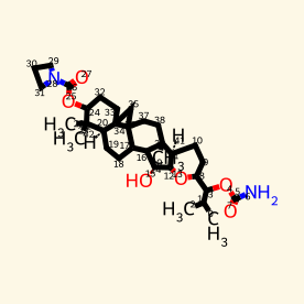 CC(C)C(OC(N)=O)C1CC[C@H]2C(O1)[C@H](O)C1C3CC[C@H]4C(C)(C)C(OC(=O)N5CCC5)CCC45CC35CCC12C